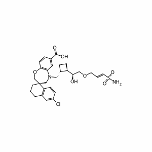 NS(=O)(=O)/C=C/COC[C@@H](O)[C@@H]1CC[C@H]1CN1C[C@@]2(CCCc3cc(Cl)ccc32)COc2ccc(C(=O)O)cc21